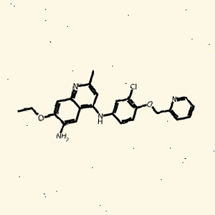 CCOc1cc2nc(C)cc(Nc3ccc(OCc4ccccn4)c(Cl)c3)c2cc1N